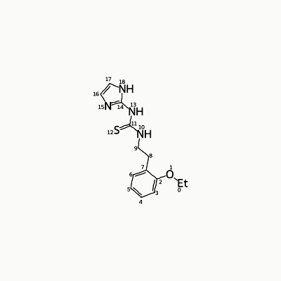 CCOc1ccccc1CCNC(=S)Nc1ncc[nH]1